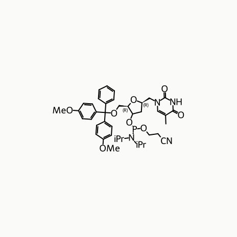 COc1ccc(C(OC[C@H]2O[C@@H](Cn3cc(C)c(=O)[nH]c3=O)CC2OP(OCCC#N)N(C(C)C)C(C)C)(c2ccccc2)c2ccc(OC)cc2)cc1